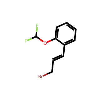 FC(F)Oc1ccccc1/C=C/CBr